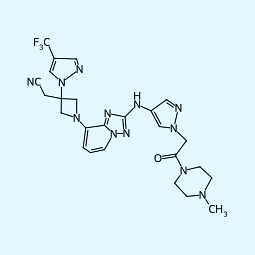 CN1CCN(C(=O)Cn2cc(Nc3nc4c(N5CC(CC#N)(n6cc(C(F)(F)F)cn6)C5)cccn4n3)cn2)CC1